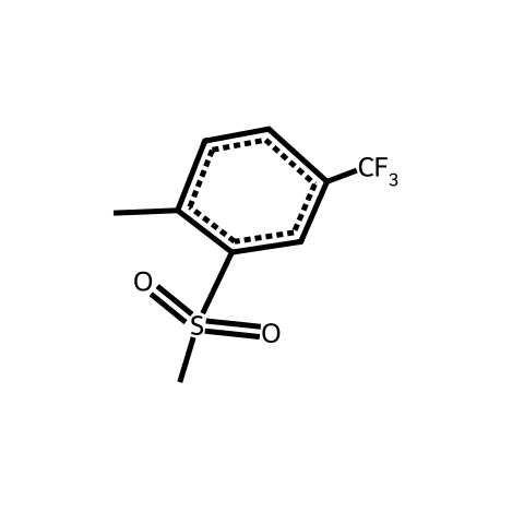 Cc1ccc(C(F)(F)F)cc1S(C)(=O)=O